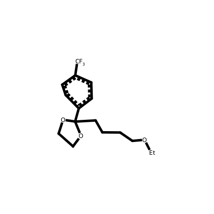 CCOCCCCC1(c2ccc(C(F)(F)F)cc2)OCCO1